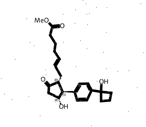 COC(=O)CCCC=CC[C@H]1C(=O)C[C@@H](O)[C@@H]1c1ccc(C2(O)CCC2)cc1